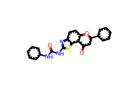 O=C(Nc1ccccc1)Nc1nc2ccc3oc(-c4ccccc4)cc(=O)c3c2s1